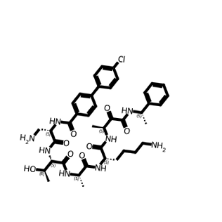 C[C@H](NC(=O)[C@@H](NC(=O)[C@H](CN)NC(=O)c1ccc(-c2ccc(Cl)cc2)cc1)[C@@H](C)O)C(=O)N[C@@H](CCCCN)C(=O)N[C@@H](C)C(=O)C(=O)N[C@@H](C)c1ccccc1